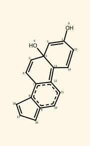 OC1=CC2(O)C=Cc3c4c(ccc3=C2C=C1)=CC=C4